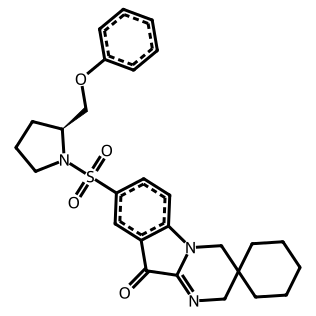 O=C1C2=NCC3(CCCCC3)CN2c2ccc(S(=O)(=O)N3CCC[C@H]3COc3ccccc3)cc21